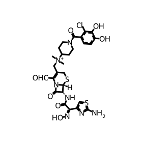 C[N+](C)(CC1=C(C=O)N2C(=O)[C@@H](NC(=O)/C(=N\O)c3csc(N)n3)[C@H]2SC1)C1CCN(C(=O)c2ccc(O)c(O)c2Cl)CC1